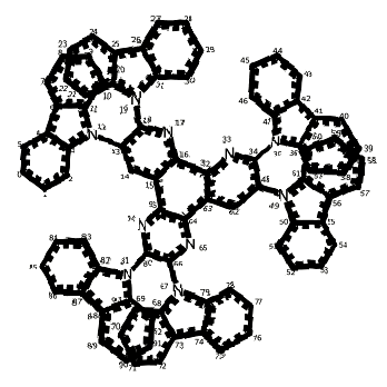 c1ccc2c(c1)c1ccccc1n2-c1cc2c(nc1-n1c3ccccc3c3ccccc31)c1nc(-n3c4ccccc4c4ccccc43)c(-n3c4ccccc4c4ccccc43)cc1c1nc(-n3c4ccccc4c4ccccc43)c(-n3c4ccccc4c4ccccc43)nc21